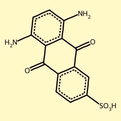 Nc1ccc(N)c2c1C(=O)c1ccc(S(=O)(=O)O)cc1C2=O